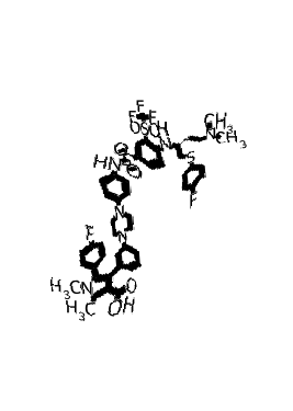 Cc1c(C(=O)O)c(-c2cccc(N3CCN(c4ccc(NS(=O)(=O)c5ccc(N[C@H](CCN(C)C)CSc6ccc(F)cc6)c(S(=O)(=O)C(F)(F)F)c5)cc4)CC3)c2)c(-c2ccc(F)cc2)n1C